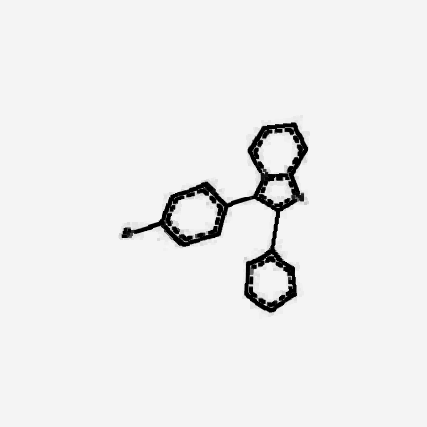 Brc1ccc(-c2c(-c3ccccc3)nc3ccccn23)cc1